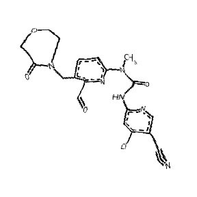 CN(C(=O)Nc1cc(Cl)c(C#N)cn1)c1ccc(CN2CCOCC2=O)c(C=O)n1